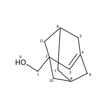 OCC12C=C3CC(CC(C3)C1)C2